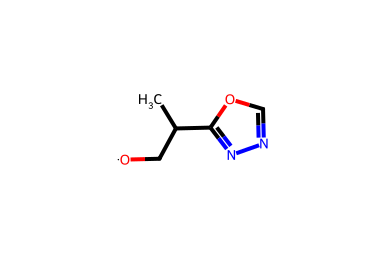 CC(C[O])c1nnco1